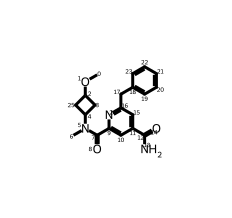 COC1CC(N(C)C(=O)c2cc(C(N)=O)cc(Cc3ccccc3)n2)C1